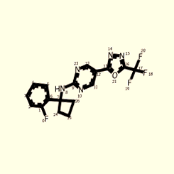 Fc1ccccc1C1(Nc2ncc(-c3nnc(C(F)(F)F)o3)cn2)CCC1